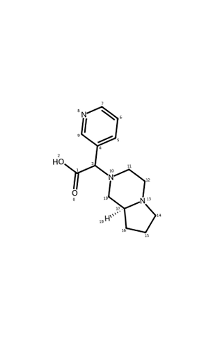 O=C(O)C(c1cccnc1)N1CCN2CCC[C@H]2C1